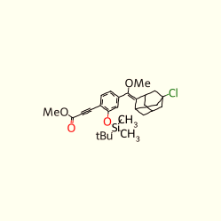 COC(=O)C#Cc1ccc(C(OC)=C2C3CC4CC2CC(Cl)(C4)C3)cc1O[Si](C)(C)C(C)(C)C